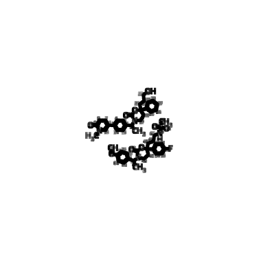 CC(c1ccc(-c2ccc(=O)n(C)c2)cc1)N1CCC(CCCO)(c2ccccc2)OC1=O.COc1ccc(C(C)N2CCC(CCCNS(C)(=O)=O)(c3ccc(F)cc3)OC2=O)cc1